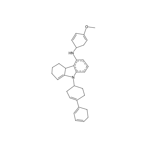 COC1=CCC(Nc2cccc3c2C2CCCC=C2N3C2CC=C(C3=CC=CCC3)CC2)C=C1